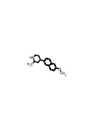 COc1ccc2cc(C3CCNC(C)C3)ccc2c1